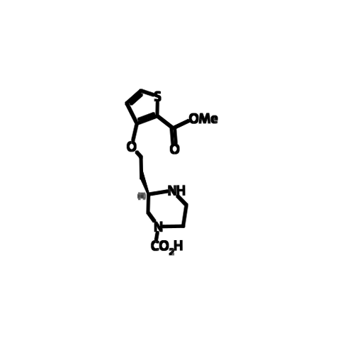 COC(=O)c1sccc1OCC[C@@H]1CN(C(=O)O)CCN1